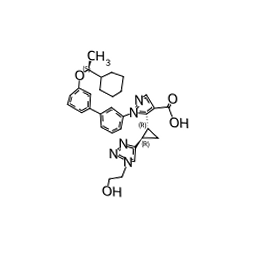 C[C@H](Oc1cccc(-c2cccc(-n3ncc(C(=O)O)c3[C@@H]3C[C@H]3c3cn(CCO)nn3)c2)c1)C1CCCCC1